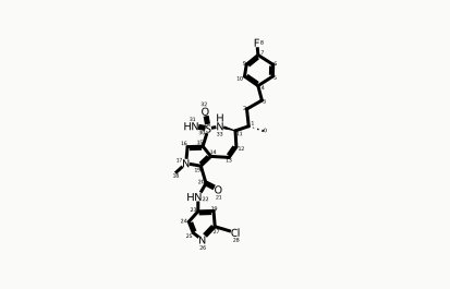 C[C@@H](CCc1ccc(F)cc1)[C@H]1C=Cc2c(cn(C)c2C(=O)Nc2ccnc(Cl)c2)S(=N)(=O)N1